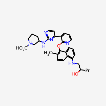 Cc1ccc2c(NCC(O)C(C)C)cccc2c1Oc1ncccc1-c1ccnc(NC2CCCN(C(=O)O)C2)n1